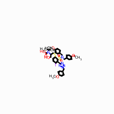 COc1ccc(CN(Cc2ccc(OC)cc2)S(=O)(=O)c2c(SCC(CO)N(C(=O)O)C(C)(C)C)ccc(I)c2-c2nnn(Cc3ccc(OC)cc3)n2)cc1